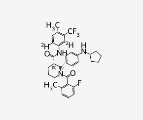 [2H]c1cc(C)c(C(F)(F)F)c([2H])c1NC(=O)[C@H]1CCCN(C(=O)c2c(C)cccc2F)[C@H]1c1ccc(NC2CCCC2)cc1